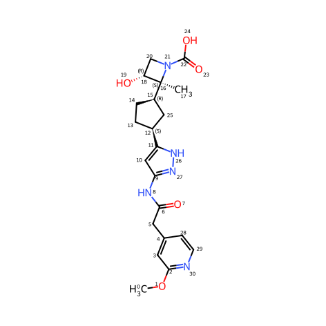 COc1cc(CC(=O)Nc2cc([C@H]3CC[C@@H]([C@@]4(C)[C@H](O)CN4C(=O)O)C3)[nH]n2)ccn1